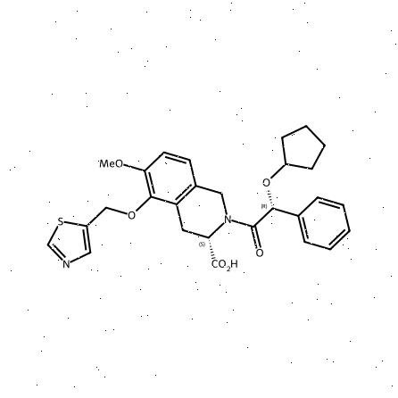 COc1ccc2c(c1OCc1cncs1)C[C@@H](C(=O)O)N(C(=O)[C@H](OC1CCCC1)c1ccccc1)C2